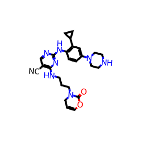 N#Cc1cnc(Nc2ccc(N3CCNCC3)cc2C2CC2)nc1NCCCN1CC=COC1=O